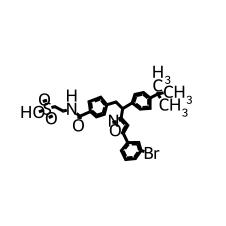 CC(C)(C)c1ccc(C(Cc2ccc(C(=O)NCCS(=O)(=O)O)cc2)c2cc(-c3cccc(Br)c3)on2)cc1